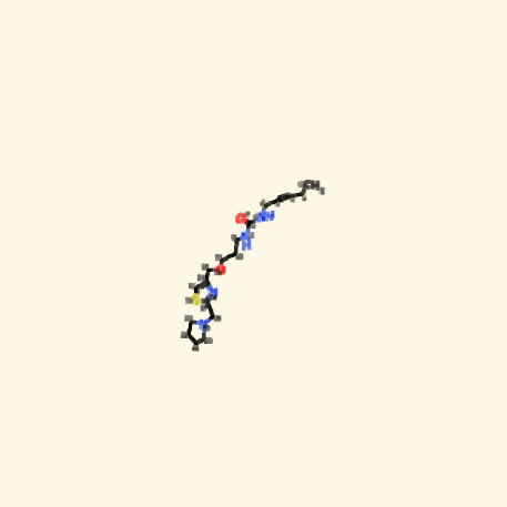 CCC#CCNC(=O)NCCCOCc1csc(CN2CCCC2)n1